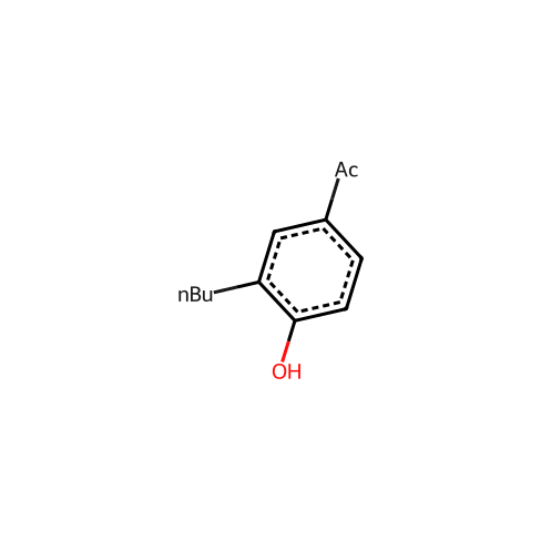 CCCCc1cc(C(C)=O)ccc1O